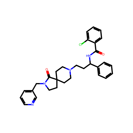 O=C(NC(CCN1CCC2(CC1)CCN(Cc1cccnc1)C2=O)c1ccccc1)c1ccccc1Cl